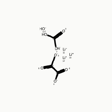 O=C(O)O.O=C([O-])C(=O)[O-].[Li+].[Li+].[Li+].[OH-]